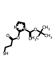 CC(C)(C)OC(=O)n1ccnc1OC(=O)CCS